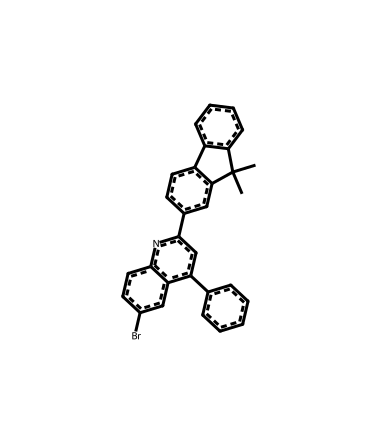 CC1(C)c2ccccc2-c2ccc(-c3cc(-c4ccccc4)c4cc(Br)ccc4n3)cc21